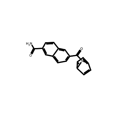 NC(=O)c1ccc2cc(C(=O)n3c4ccc3cc4)ccc2c1